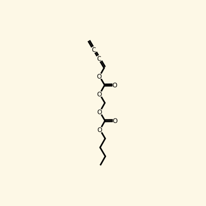 C=C=C=COC(=O)OCOC(=O)OCCCC